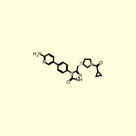 Nc1ccc(-c2ccc(-n3c(C[C@@H]4CCN(C(=O)C5CC5)C4)n[nH]c3=O)cc2)cn1